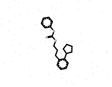 O=C(OCCCc1ccccc1C1CCCC1)Oc1ccccc1